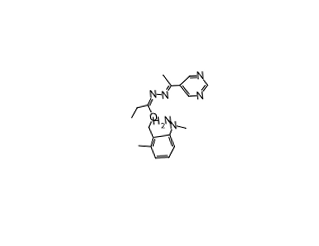 CCC(=NN=C(C)c1cncnc1)OCc1c(C)cccc1N(C)N